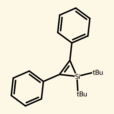 CC(C)(C)[Si]1(C(C)(C)C)C(c2ccccc2)=C1c1ccccc1